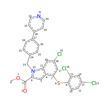 COC(=O)c1cc2c(Sc3ccc(Cl)cc3Cl)cc(Cl)cc2n1Cc1ccc(-c2ccncc2)cc1